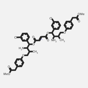 COC(=O)Cc1ccc(OCC(C)C(N)C(OC(=O)/C=C/C(=O)OC(c2cccc(Cl)c2)C(N)C(C)COc2ccc(CC(=O)OC)cc2)c2cccc(Cl)c2)cc1